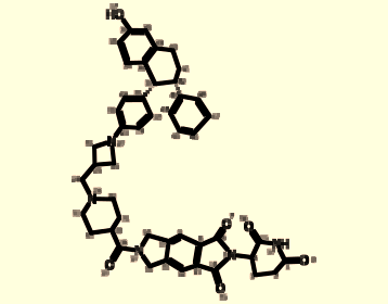 O=C1CCC(N2C(=O)c3cc4c(cc3C2=O)CN(C(=O)C2CCN(CC3CN(c5ccc([C@@H]6c7ccc(O)cc7CC[C@@H]6c6ccccc6)cc5)C3)CC2)C4)C(=O)N1